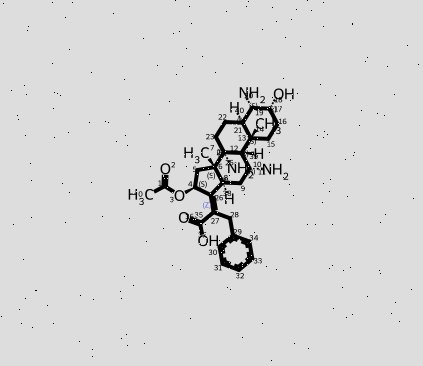 CC(=O)O[C@H]1C[C@@]2(C)[C@@H](C[C@@H](N)[C@H]3[C@@]4(C)CC[C@@H](O)[C@@H](N)[C@@H]4CC[C@@]32N)/C1=C(\Cc1ccccc1)C(=O)O